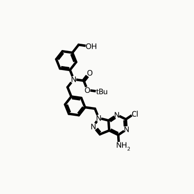 CC(C)(C)OC(=O)N(Cc1cccc(Cn2ncc3c(N)nc(Cl)nc32)c1)c1cccc(CO)c1